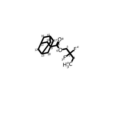 CCC(F)(F)COC(=O)C12CC3CC(CC(C3)C1)C2